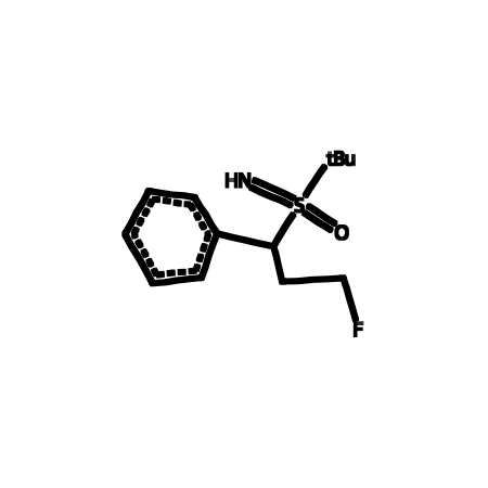 CC(C)(C)S(=N)(=O)C(CCF)c1ccccc1